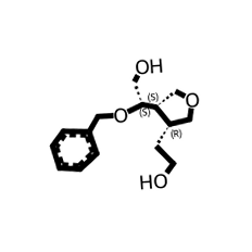 OCC[C@H]1COC[C@H]1[C@@H](CO)OCc1ccccc1